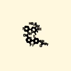 CC(C)C(=O)Nc1cc(F)c(-c2nc(C(=O)Nc3cnccc3[C@H]3C[C@@H](NC(=O)O)[C@](C)(O)[C@@H](C)O3)ccc2F)c(F)c1